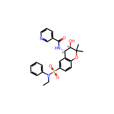 CCN(c1ccccc1)S(=O)(=O)c1ccc2c(c1)[C@H](NC(=O)c1cccnc1)[C@@H](O)C(C)(C)O2